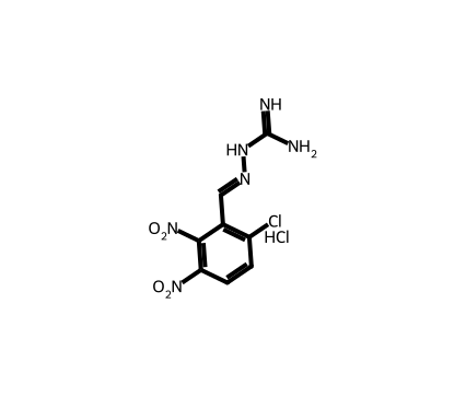 Cl.N=C(N)NN=Cc1c(Cl)ccc([N+](=O)[O-])c1[N+](=O)[O-]